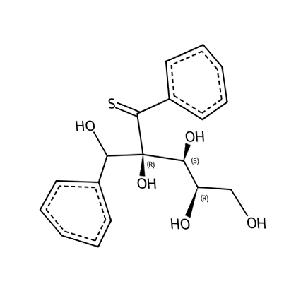 OC[C@@H](O)[C@H](O)[C@@](O)(C(=S)c1ccccc1)C(O)c1ccccc1